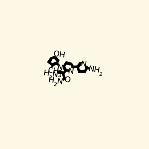 Cc1ccc(O)cc1-n1c(N)c(C(N)=O)c2nc(-c3ccc(N)nc3)ccc21